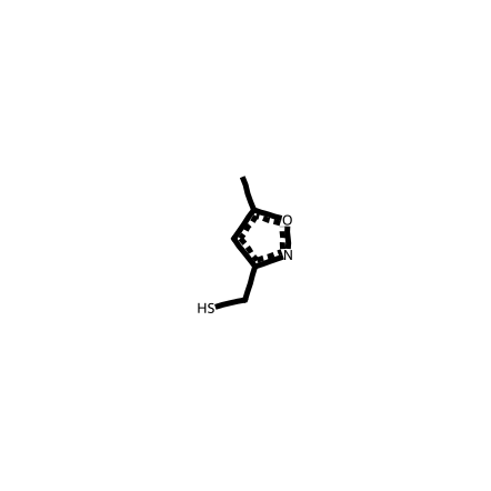 Cc1cc(CS)no1